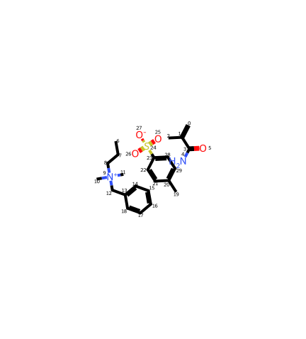 C=C(C)C(N)=O.CCC[N+](C)(C)Cc1ccccc1.Cc1ccc(S(=O)(=O)[O-])cc1